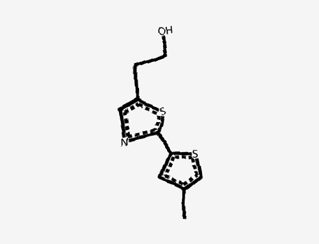 Cc1csc(-c2ncc(CCO)s2)c1